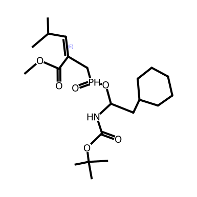 COC(=O)/C(=C\C(C)C)C[PH](=O)OC(CC1CCCCC1)NC(=O)OC(C)(C)C